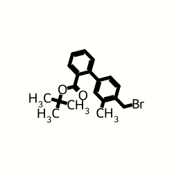 Cc1cc(-c2ccccc2C(=O)OC(C)(C)C)ccc1CBr